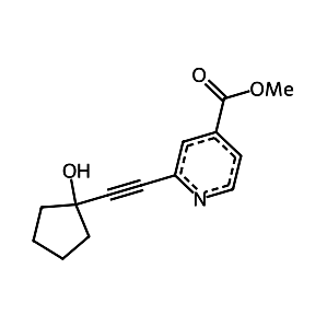 COC(=O)c1ccnc(C#CC2(O)CCCC2)c1